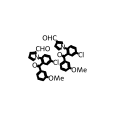 COc1cccc(C(=O)c2cc(Cl)ccc2-n2ccc(C=O)c2)c1.COc1cccc(C(=O)c2cc(Cl)ccc2-n2cccc2C=O)c1